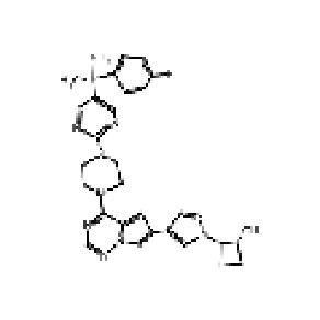 C[C@](N)(c1ccc(F)cc1)c1cnc(N2CCN(c3ncnn4cc(-c5cnn([C@@H]6CC[C@H]6O)c5)cc34)CC2)nc1